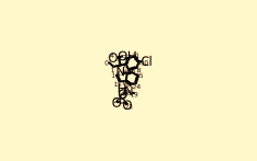 CCC(C(=O)O)(c1ccc(Cl)cc1)n1ccc2c(N(C)O[SH](=O)=O)cccc21